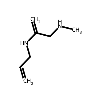 C=CCNC(=C)CNC